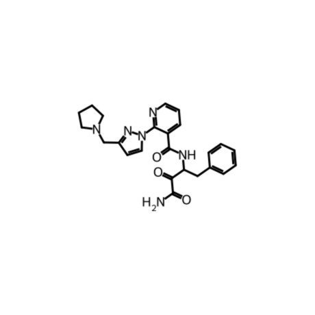 NC(=O)C(=O)C(Cc1ccccc1)NC(=O)c1cccnc1-n1ccc(CN2CCCC2)n1